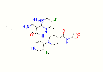 NC(N)C(C(=O)NC1CNCC(F)C1N1CCC(C(=O)NC2COC2)CC1)C1NCC(F)CN1